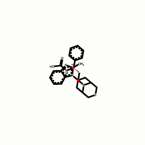 Cc1nc2ccccc2n1C1CC2CSCC(C1)N2CC[C@H](NC(=O)O)c1ccccc1